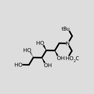 CC(C)(C)CN(CC(=O)O)C[C@@H](O)[C@H](O)[C@@H](O)[C@@H](O)CO